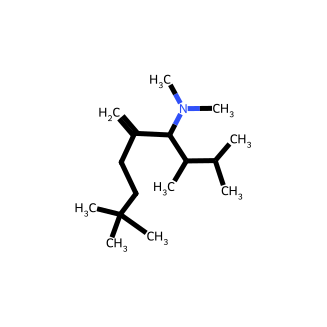 C=C(CCC(C)(C)C)C(C(C)C(C)C)N(C)C